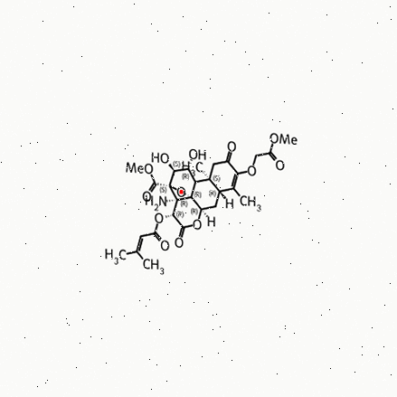 COC(=O)COC1=C(C)[C@@H]2C[C@H]3OC(=O)[C@H](OC(=O)C=C(C)C)[C@@]4(N)[C@]5(C(=O)OC)OC[C@]34C([C@@H](O)[C@@H]5O)[C@@]2(C)CC1=O